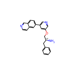 N[C@H](COc1cncc(-c2ccc3cnccc3c2)c1)Cc1ccccc1